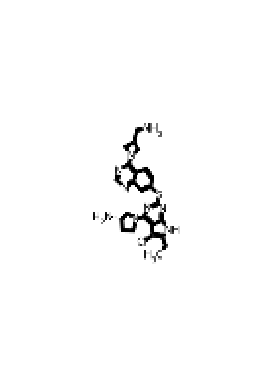 CCc1[nH]c2nc(Sc3ccc4c(N5CC(CN)C5)ncnc4c3)nc(N3CC[C@H](N)C3)c2c1Cl